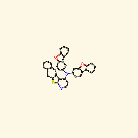 c1ccc2cc3c(cc2c1)sc1nccc(N(c2ccc4c(c2)oc2ccccc24)c2ccc4oc5ccccc5c4c2)c13